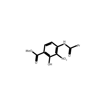 COC(=O)c1ccc(NC(=O)C(C)C)c([N+](=O)[O-])c1O